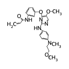 C=CC(=O)Nc1cccc(Oc2nc(Nc3ccc(N(C)CCOC)cc3)ncc2OC)c1